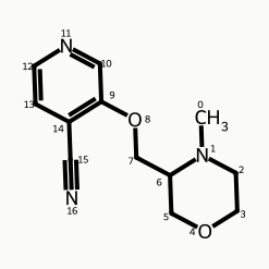 CN1CCOCC1COc1cnccc1C#N